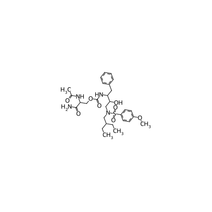 CCC(CC)CN(CC(O)C(Cc1ccccc1)NC(=O)OCC(NC(C)=O)C(N)=O)S(=O)(=O)c1ccc(OC)cc1